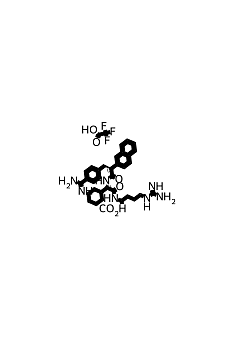 N=C(N)NCCCC(NC(=O)[C@@H](NC(=O)[C@@H](Cc1ccc(C(=N)N)cc1)c1ccc2ccccc2c1)C1CCCCC1)C(=O)O.O=C(O)C(F)(F)F